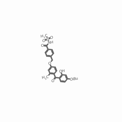 Cc1[c]c(OCc2ccc(C(=O)NS(C)(=O)=O)cc2)ccc1C(=O)c1ccc(OCC(C)C)cc1O